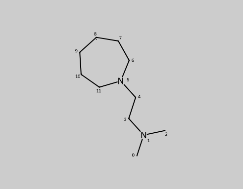 CN(C)CCN1CC[CH]CCC1